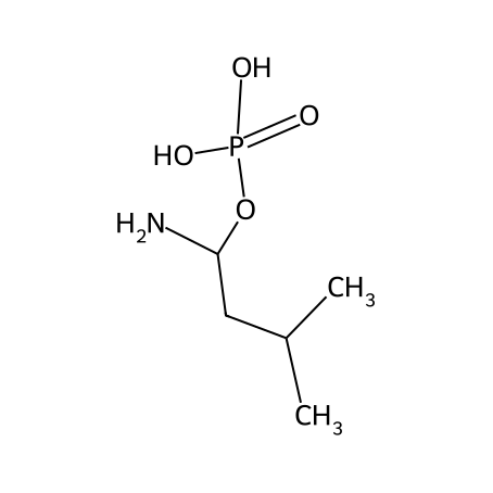 CC(C)CC(N)OP(=O)(O)O